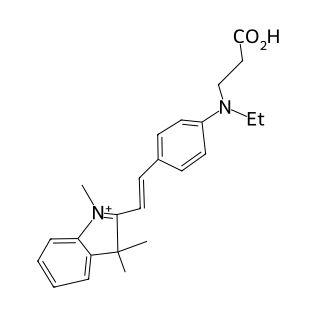 CCN(CCC(=O)O)c1ccc(/C=C/C2=[N+](C)c3ccccc3C2(C)C)cc1